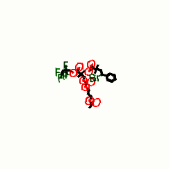 CC(=O)OCCCOC(=O)OCC(C)(COC(=O)C(C)(C)CC(Br)c1ccccc1)C(=O)OCC(F)(F)CC(F)(F)F